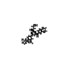 CC(C)(C)c1ccc(-c2cc(Nc3ccc4c(c3)OCCO4)nc(NCCO)n2)cc1